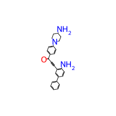 Nc1ccc(-c2ccccc2)cc1C#CC(=O)c1ccc(N2CCC(N)CC2)cc1